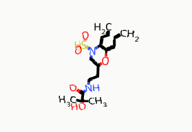 C=C/C=C1/OC(CCNC(=O)C(C)(C)O)CN([SH](=O)=O)/C1=C/C=C